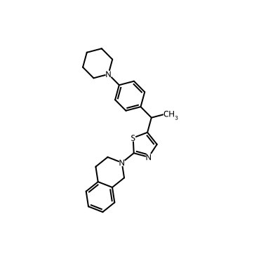 CC(c1ccc(N2CCCCC2)cc1)c1cnc(N2CCc3ccccc3C2)s1